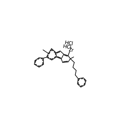 Cc1cc2c(cc1-c1ccccc1)=C1C=CC(C)(CCCCc3ccccc3)[C]([Zr])=C1C=2.Cl.Cl